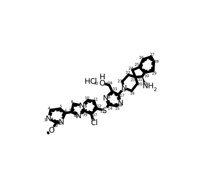 COc1nccc(-c2cn3ccc(Sc4cnc(N5CCC6(CC5)Cc5ccccc5[C@H]6N)c(CO)n4)c(Cl)c3n2)n1.Cl